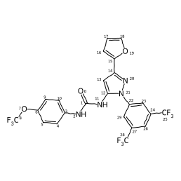 O=C(Nc1ccc(OC(F)(F)F)cc1)Nc1cc(-c2ccco2)nn1-c1cc(C(F)(F)F)cc(C(F)(F)F)c1